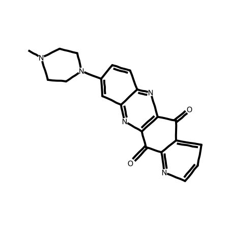 CN1CCN(c2ccc3nc4c(nc3c2)C(=O)c2ncccc2C4=O)CC1